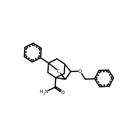 NC(=O)C12CC3CC(c4ccccc4)(CC1C3OCc1ccccc1)C2